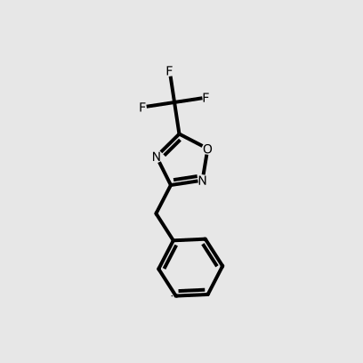 FC(F)(F)c1nc(Cc2c[c]ccc2)no1